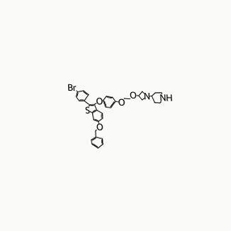 Brc1ccc(-c2sc3cc(OCc4ccccc4)ccc3c2Oc2ccc(OCCOC3CN(C4CCNCC4)C3)cc2)cc1